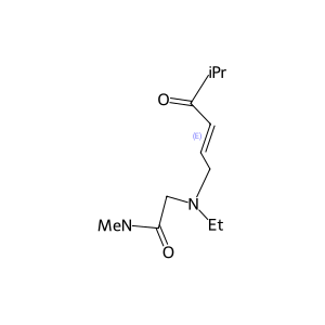 CCN(C/C=C/C(=O)C(C)C)CC(=O)NC